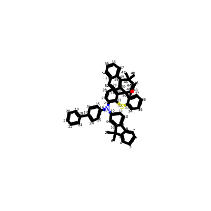 CC1(C)c2ccccc2-c2ccc(N(c3ccc(-c4ccccc4)cc3)c3cccc4c3Sc3ccccc3C43c4ccccc4C(C)(C)c4c3ccc3ccccc43)cc21